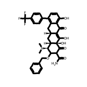 CN(C)[C@@H]1C(OCc2ccccc2)C(C(N)=O)C(=O)[C@@]2(O)C(O)=C3C(=O)c4c(O)ccc(-c5ccc(C(F)(F)F)cc5)c4C[C@H]3C[C@@H]12